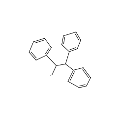 [CH2]C(c1ccccc1)C(c1ccccc1)c1ccccc1